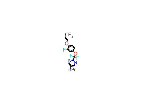 CCCc1cnc(C(F)(F)Oc2ccc(O/C=C/C(F)(F)F)c(F)c2)nc1